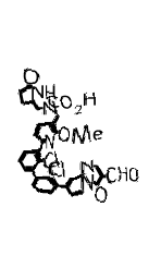 COc1nc(-c2cccc(-c3cccc(-c4ccn5c(=O)c(C=O)cnc5c4)c3Cl)c2Cl)ccc1CN(CC1CCC(=O)N1)C(=O)O